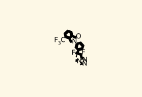 Cn1cnnc1[C@@H](F)[C@](C)(F)c1cccc(N2Cc3c(cccc3C(F)(F)F)C2=O)c1